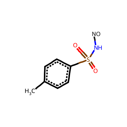 Cc1ccc(S(=O)(=O)NN=O)cc1